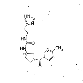 Cc1ccc(C(=O)N2CC[C@@H](NC(=O)NCCc3c[nH]cn3)C2)cn1